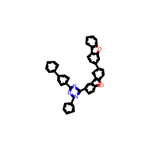 c1ccc(-c2ccc(-c3nc(-c4ccccc4)nc(-c4ccc5oc6ccc(-c7ccc8c(c7)oc7ccccc78)cc6c5c4)n3)cc2)cc1